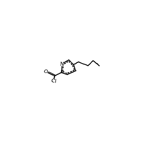 CCCCc1ccc(C(=O)Cl)nc1